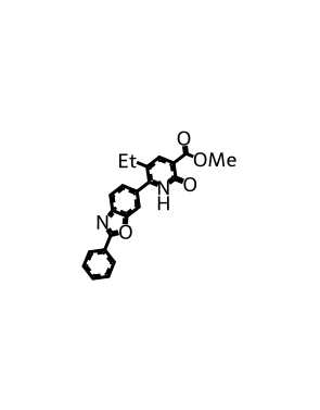 CCc1cc(C(=O)OC)c(=O)[nH]c1-c1ccc2nc(-c3ccccc3)oc2c1